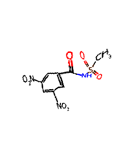 CS(=O)(=O)NC(=O)c1cc([N+](=O)[O-])cc([N+](=O)[O-])c1